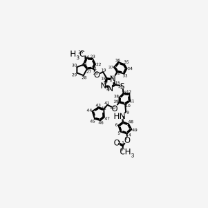 CC(=O)Oc1ccc(NCc2ccc(Sc3nnc(COc4ccc(C)c5c4CCC5)n3-c3ccccc3)cc2OCc2ccccc2)cc1